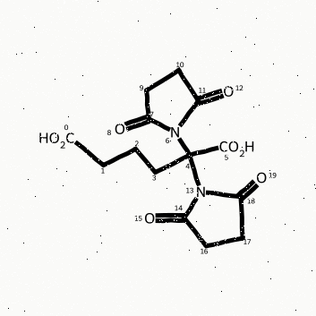 O=C(O)CCCC(C(=O)O)(N1C(=O)CCC1=O)N1C(=O)CCC1=O